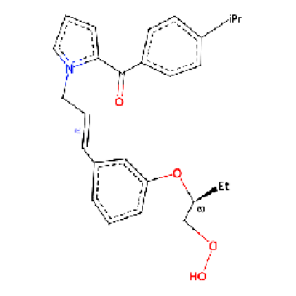 CC[C@@H](COO)Oc1cccc(/C=C/Cn2cccc2C(=O)c2ccc(C(C)C)cc2)c1